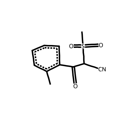 Cc1ccccc1C(=O)C(C#N)S(C)(=O)=O